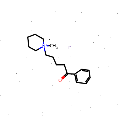 C[N+]1(CCCCC(=O)c2ccccc2)CCCCC1.[I-]